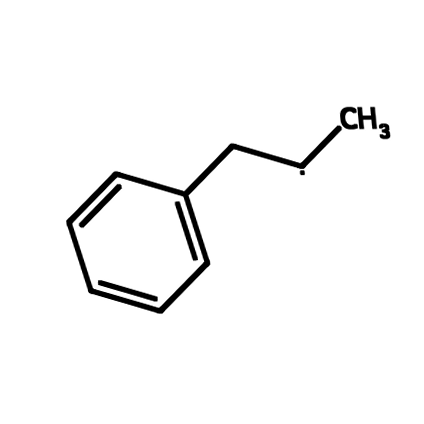 C[CH]Cc1ccccc1